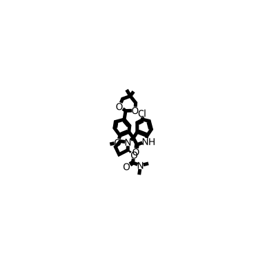 COc1ccc(C2OCC(C)(C)CO2)cc1C1(N2CCC[C@@H]2OC(=O)N(C)C)C(=O)Nc2ccc(Cl)cc21